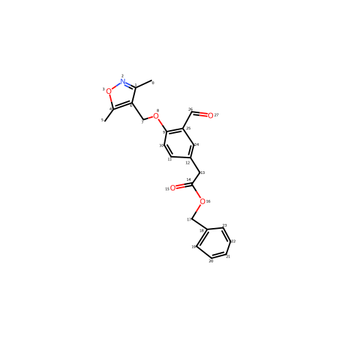 Cc1noc(C)c1COc1ccc(CC(=O)OCc2ccccc2)cc1C=O